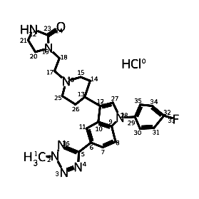 Cl.Cn1nnc(-c2ccc3c(c2)c(C2CCN(CCN4CCNC4=O)CC2)cn3-c2ccc(F)cc2)n1